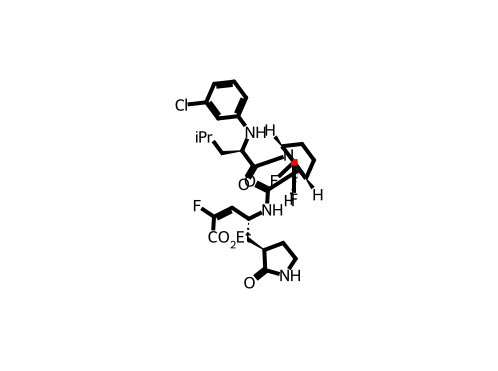 CCOC(=O)/C(F)=C\[C@@H](C[C@H]1CCNC1=O)NC(=O)[C@@H]1[C@H]2CC[C@H](CC2(F)F)N1C(=O)[C@@H](CC(C)C)Nc1cccc(Cl)c1